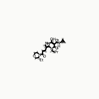 CC[C@@H]1COCCN1C(=O)/C=C/c1cnn2c(O)c(C(=O)NC3CC3)c(=O)n(CC(C)C)c12